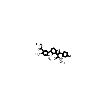 CNC(=O)c1c(-c2ccc(F)cc2)oc2ccc(-c3cc(C(=O)OC)c(C)cc3C)c(F)c12